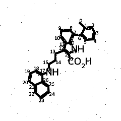 Cc1ccccc1-c1cccc2c(CCCNc3cccc4ccccc34)c(C(=O)O)[nH]c12